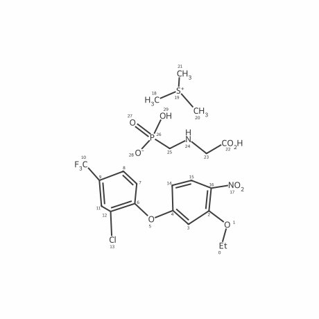 CCOc1cc(Oc2ccc(C(F)(F)F)cc2Cl)ccc1[N+](=O)[O-].C[S+](C)C.O=C(O)CNCP(=O)([O-])O